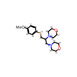 COc1ccc(SCC(CN2CCOCC2)N2CCOCC2)cc1